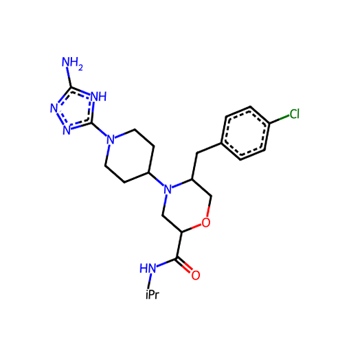 CC(C)NC(=O)C1CN(C2CCN(c3nnc(N)[nH]3)CC2)C(Cc2ccc(Cl)cc2)CO1